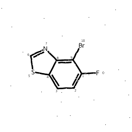 Fc1ccc2scnc2c1Br